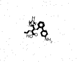 CCC[C@H](C(=O)O)[C@H](Cc1ccccc1C1=CCC(N)CC1)c1nn[nH]n1